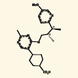 COc1ccc([C@@H](C)[C@H](C)COc2nc(C)ncc2C2CCC(C(=O)O)CC2)nc1